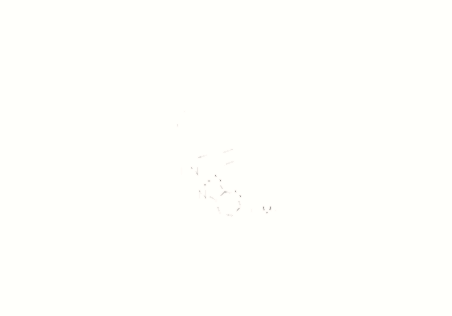 COc1ccc2nc(NC(=O)CC3CCCC(C)(C)O3)n(C3=CC=C3)c2n1